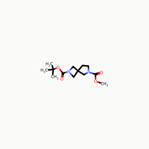 COC(=O)N1CCC2(C1)CN(C(=O)OC(C)(C)C)C2